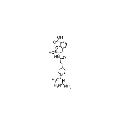 CC(N=C(N)N)N1CCC(CCC(=O)NC2Cc3cccc(C(=O)O)c3OB2O)CC1